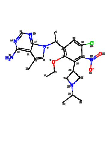 CCOc1c(C(C)n2cc(C)c3c(N)ncnc32)cc(Cl)c([N+](=O)[O-])c1C1CN(C(C)C)C1